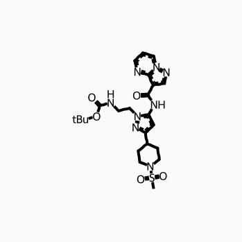 CC(C)(C)OC(=O)NCCn1nc(C2CCN(S(C)(=O)=O)CC2)cc1NC(=O)c1cnn2cccnc12